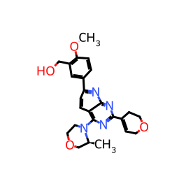 COc1ccc(-c2ccc3c(N4CCOC[C@@H]4C)nc(C4=CCOCC4)nc3n2)cc1CO